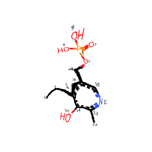 CCc1c(COP(=O)(O)O)cnc(C)c1O